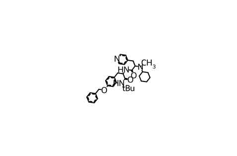 CN(C1CCCCC1)C(Cc1ccncc1)C(=O)NC(Cc1ccc(OCc2ccccc2)cc1)C(=O)NC(C)(C)C